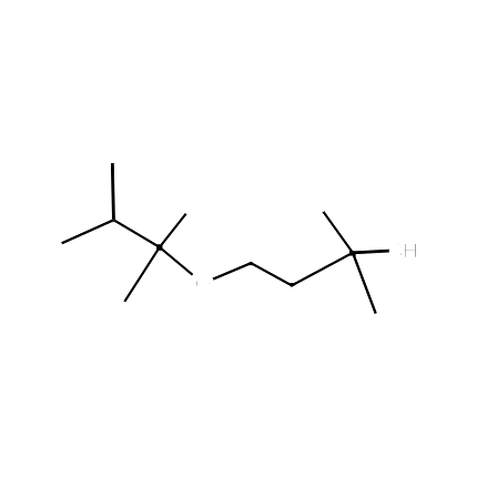 CC(C)C(C)(C)OCCC(C)(C)S